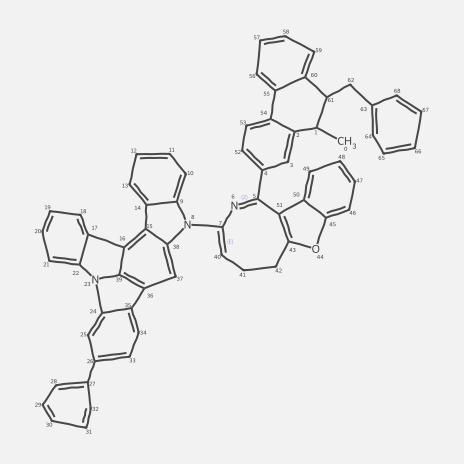 CC1c2cc(/C3=N/C(n4c5ccccc5c5c6c7ccccc7n7c8cc(-c9ccccc9)ccc8c(cc54)c67)=C\CCc4oc5ccccc5c43)ccc2-c2ccccc2C1Cc1ccccc1